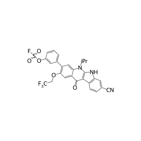 CC(C)n1c2cc(-c3cccc(OS(=O)(=O)F)c3)c(OCC(F)(F)F)cc2c(=O)c2c3ccc(C#N)cc3[nH]c21